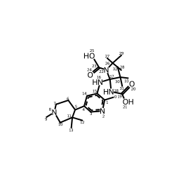 Cc1ncc(C2CCN(C)CC2(C)C)cc1NC(NC(=O)O)(N(C(=O)O)C(C)(C)C)C(C)(C)C